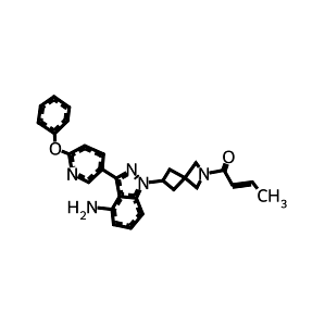 C/C=C/C(=O)N1CC2(CC(n3nc(-c4ccc(Oc5ccccc5)nc4)c4c(N)cccc43)C2)C1